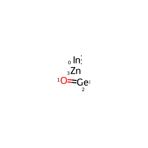 [In].[O]=[Ge].[Zn]